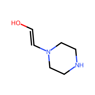 OC=CN1CCNCC1